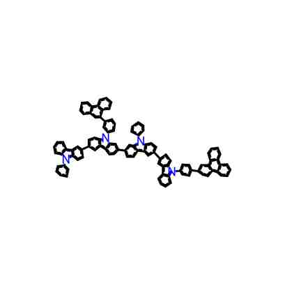 c1ccc(-n2c3ccccc3c3cc(-c4ccc5c(c4)c4ccc(-c6ccc7c8cc(-c9ccc%10c(c9)c9ccccc9n%10-c9ccc(-c%10ccc%11c%12ccccc%12c%12ccccc%12c%11c%10)cc9)ccc8n(-c8ccccc8)c7c6)cc4n5-c4cccc(-c5cc6ccccc6c6ccccc56)c4)ccc32)cc1